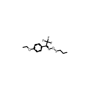 CCCSO/N=C(/c1ccc(OCC)cc1)C(F)(F)F